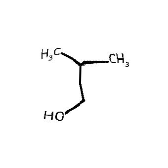 C[C](C)CO